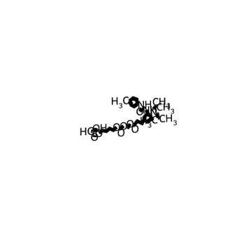 Cc1ccc(NC(=O)Nc2cc(CCC(=O)OCOC(=O)OCCCCOP(=O)(O)O)ccc2N(CC(C)C)CC(C)C)cc1